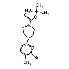 Cc1ccc(N2CCN(C(=O)OC(C)(C)C)CC2)nc1Br